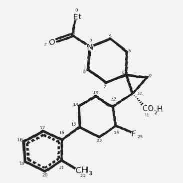 CCC(=O)N1CCC2(CC1)C[C@@]2(C(=O)O)C1CCC(c2ccccc2C)CC1F